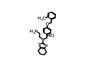 Cc1ccccc1COc1ccc(CN(CCN)c2nc3c(s2)CCCC3)cc1.Cl